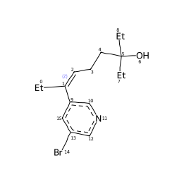 CC/C(=C/CCC(O)(CC)CC)c1cncc(Br)c1